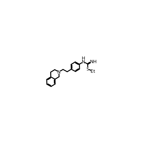 CCSC(=N)Nc1ccc(CCN2CCc3ccccc3C2)cc1